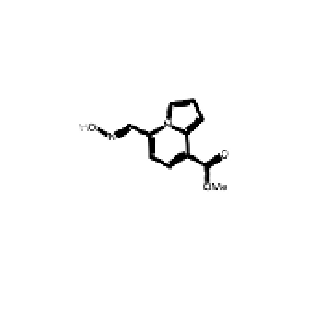 COC(=O)c1ccc(/C=N/O)n2cccc12